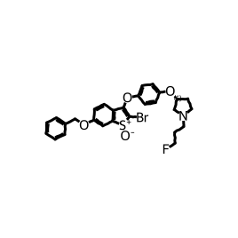 [O-][s+]1c(Br)c(Oc2ccc(O[C@H]3CCN(CCCF)C3)cc2)c2ccc(OCc3ccccc3)cc21